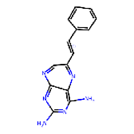 Nc1nc(N)c2nc(/C=C/c3ccccc3)cnc2n1